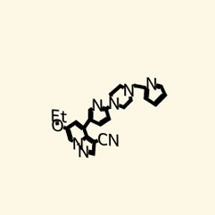 CCOc1cc(-c2ccc(N3CCN(Cc4ccccn4)CC3)nc2)c2c(C#N)cnn2c1